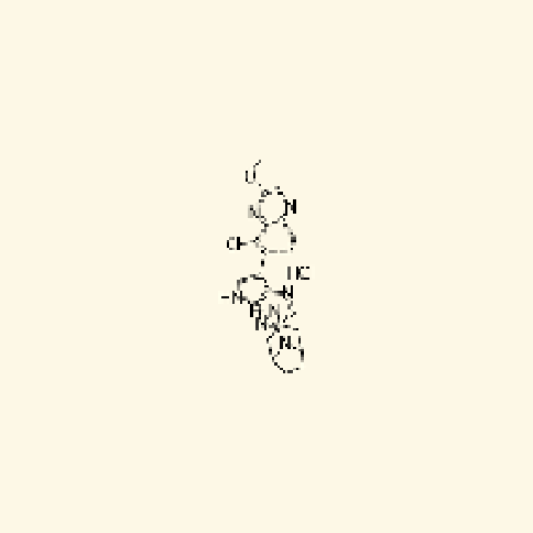 COc1cnc2ccc(-c3c[nH]c4nc(N5C6CCC5CC(N)C6)cnc34)c(Cl)c2n1.Cl